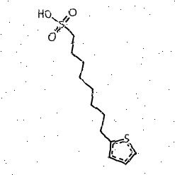 O=S(=O)(O)CCCCCCCCc1cccs1